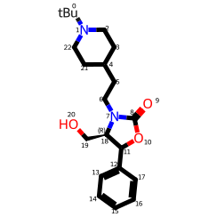 CC(C)(C)N1CCC(CCN2C(=O)OC(c3ccccc3)[C@H]2CO)CC1